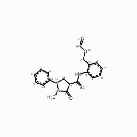 CN1C(=O)C(C(=O)Nc2ccccc2COC=O)CN1c1ccccc1